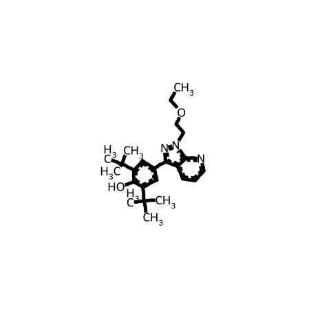 CCOCCn1nc(-c2cc(C(C)(C)C)c(O)c(C(C)(C)C)c2)c2cccnc21